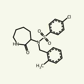 Cc1ccccc1CN(C1CCCCNC1=O)S(=O)(=O)c1ccc(Cl)cc1